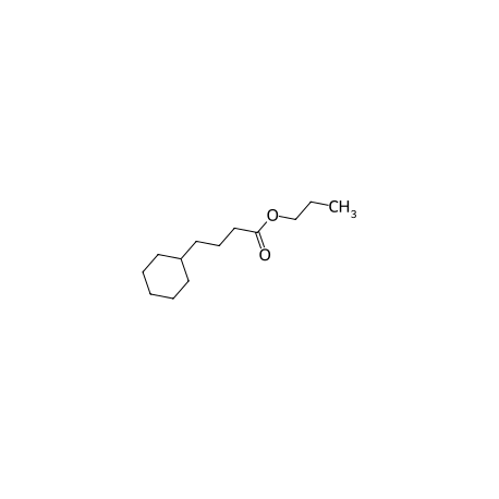 CCCOC(=O)CCCC1CCCCC1